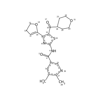 Cc1cc(C(=O)Nc2nc(C3=CCCO3)c(C(=O)C3CCOCC3)s2)cnc1C